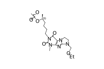 CCOCN1CCn2c1nc1c2c(=O)n(CCCC[C@H](C)OS(C)(=O)=O)c(=O)n1C